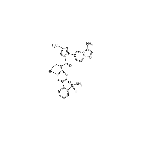 Nc1noc2ccc(-n3nc(C(F)(F)F)cc3C(=O)N3CCNc4cc(-c5ccccc5S(N)(=O)=O)ccc43)cc12